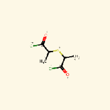 CC(SC(C)C(=O)Cl)C(=O)Cl